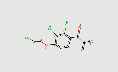 C=C(CC)C(=O)c1ccc(OCCCl)c(Cl)c1Cl